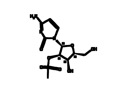 CS(=O)(=O)O[C@@H]1[C@H](O)[C@@H](CO)O[C@H]1n1ccc(N)nc1=O